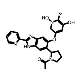 CC(=O)N1CCCC1c1cc2[nH]c(-c3ccccn3)nc2cc1OC1=CC(O)=C([S])N(O)C1